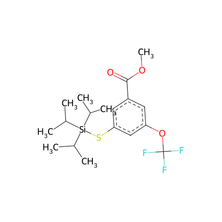 COC(=O)c1cc(OC(F)(F)F)cc(S[Si](C(C)C)(C(C)C)C(C)C)c1